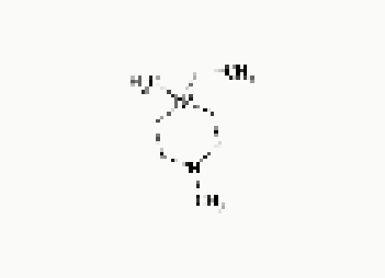 CC[N+]1(C)CCN(C)CC1